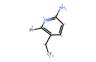 CC(C)c1nc(N)ccc1CC(F)(F)F